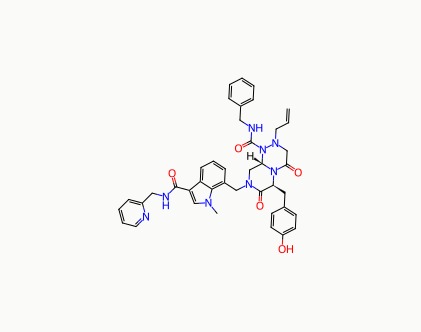 C=CCN1CC(=O)N2[C@@H](Cc3ccc(O)cc3)C(=O)N(Cc3cccc4c(C(=O)NCc5ccccn5)cn(C)c34)C[C@@H]2N1C(=O)NCc1ccccc1